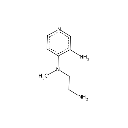 CN(CCN)c1ccncc1N